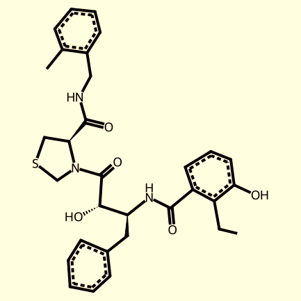 CCc1c(O)cccc1C(=O)N[C@@H](Cc1ccccc1)[C@H](O)C(=O)N1CSC[C@H]1C(=O)NCc1ccccc1C